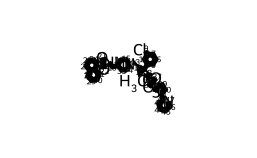 CN(C[C@@]1(c2cccc(Cl)c2)C[C@H]1CN1CCC(CNS(=O)(=O)c2cccc3ccccc23)CC1)S(=O)(=O)c1ccc(-c2ccccn2)s1